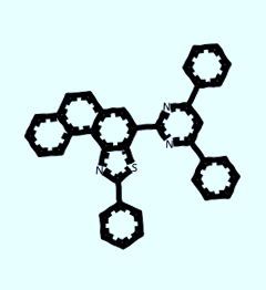 c1ccc(-c2cc(-c3ccccc3)nc(-c3cc4ccc5ccccc5c4c4nc(-c5ccccc5)sc34)n2)cc1